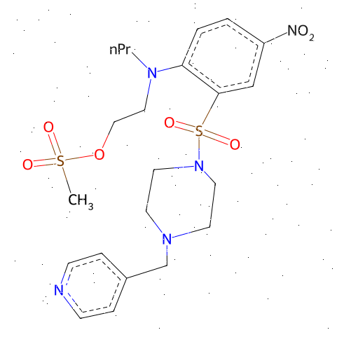 CCCN(CCOS(C)(=O)=O)c1ccc([N+](=O)[O-])cc1S(=O)(=O)N1CCN(Cc2ccncc2)CC1